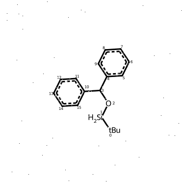 CC(C)(C)[SiH2]OC(c1ccccc1)c1ccccc1